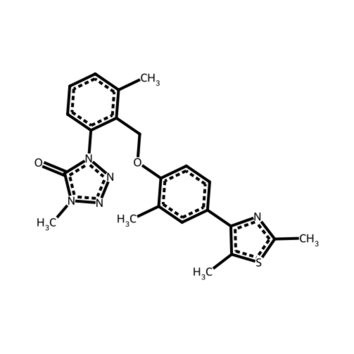 Cc1nc(-c2ccc(OCc3c(C)cccc3-n3nnn(C)c3=O)c(C)c2)c(C)s1